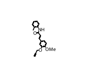 C#CCOc1cc(/C=C/C(=O)Nc2ccccc2C)ccc1OC